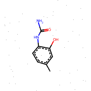 Cc1ccc(NC(N)=O)c(O)c1